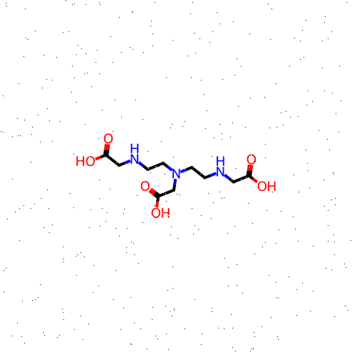 O=C(O)CNCCN(CCNCC(=O)O)CC(=O)O